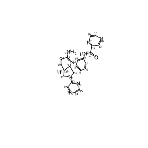 NC1=N[C@@]2(c3cccc(NC(=O)c4cnccn4)c3)CN(c3cnccn3)C[C@H]2CS1